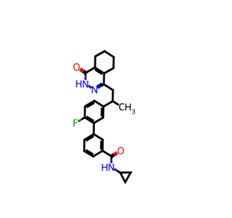 CC(Cc1n[nH]c(=O)c2c1CCCC2)c1ccc(F)c(-c2cccc(C(=O)NC3CC3)c2)c1